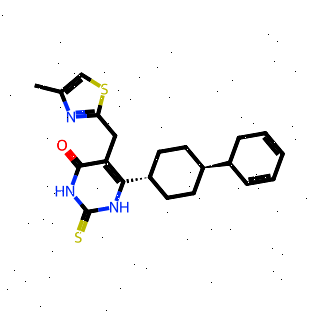 Cc1csc(Cc2c(=O)[nH]c(=S)[nH]c2[C@H]2CC[C@H](C3C=CC=CC3)CC2)n1